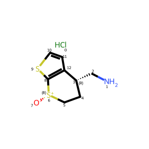 Cl.NC[C@@H]1CC[S@+]([O-])c2sccc21